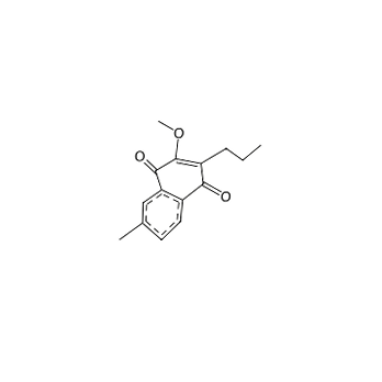 CCCC1=C(OC)C(=O)c2cc(C)ccc2C1=O